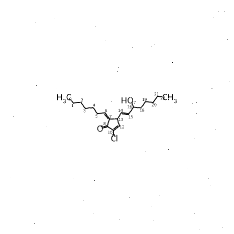 CCCCCCC=C1C(=O)C(Cl)=CC1C=CC(O)CCCCC